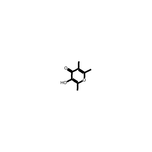 Cc1oc(C)c(O)c(=O)c1C